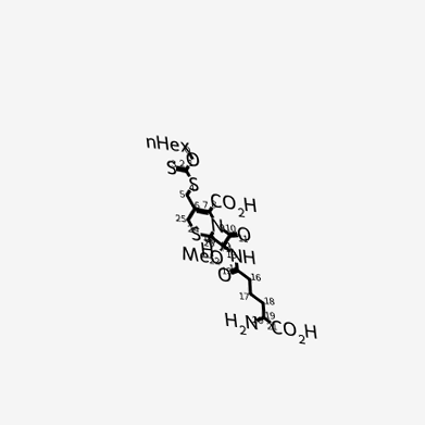 CCCCCCOC(=S)SCC1=C(C(=O)O)N2C(=O)[C@](NC(=O)CCCC(N)C(=O)O)(OC)[C@@H]2SC1